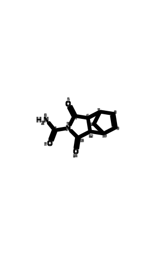 NC(=O)N1C(=O)C2C3C=CC(C3)C2C1=O